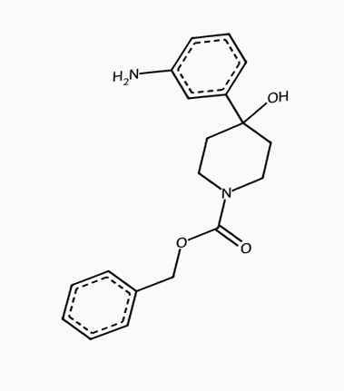 Nc1cccc(C2(O)CCN(C(=O)OCc3ccccc3)CC2)c1